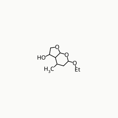 CCOC1CC(C)C2C(O)COC2O1